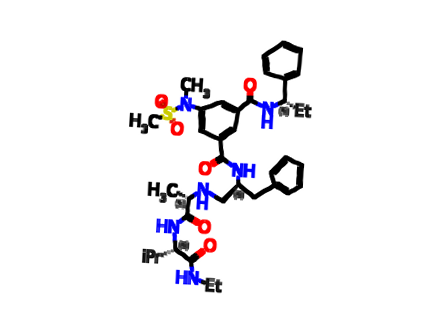 CCNC(=O)[C@@H](NC(=O)[C@H](C)NC[C@H](Cc1ccccc1)NC(=O)c1cc(C(=O)N[C@@H](CC)c2ccccc2)cc(N(C)S(C)(=O)=O)c1)C(C)C